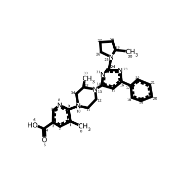 Cc1cc(C(=O)O)cnc1N1CCN(c2cc(-c3ccccc3)nc(N3CCCC3C)n2)C(C)C1